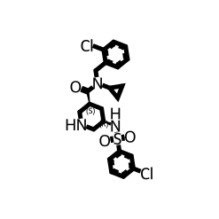 O=C([C@@H]1CNC[C@H](NS(=O)(=O)c2cccc(Cl)c2)C1)N(Cc1ccccc1Cl)C1CC1